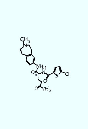 CN1CCc2ccc(NC(=O)[C@@H](CCC(N)=O)NC(=O)c3ccc(Cl)s3)cc2CC1